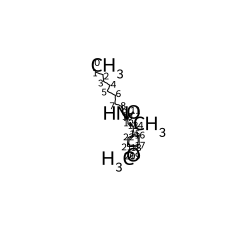 CCCCCCCCCNC(=O)C=C(C)c1ccc(OC)cc1